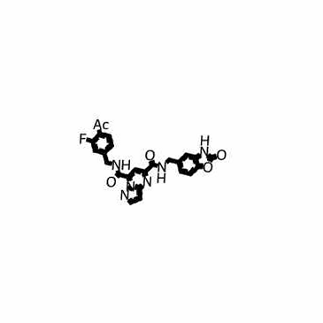 CC(=O)c1ccc(CNC(=O)c2cc(C(=O)NCc3ccc4oc(=O)[nH]c4c3)nc3ccnn23)cc1F